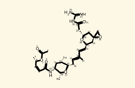 CC(=O)O[C@@H](C)/C=C\C(=O)N[C@@H]1C[C@H](C)[C@H](C/C=C(C)/C=C/[C@@H]2C[C@]3(CO3)C[C@@H](CC(=O)NC(=N)N)O2)O[C@@H]1C